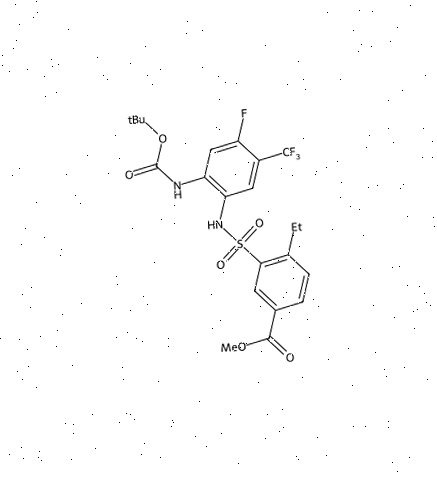 CCc1ccc(C(=O)OC)cc1S(=O)(=O)Nc1cc(C(F)(F)F)c(F)cc1NC(=O)OC(C)(C)C